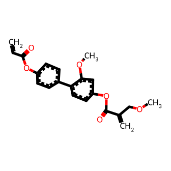 C=CC(=O)Oc1ccc(-c2ccc(OC(=O)C(=C)COC)cc2OC)cc1